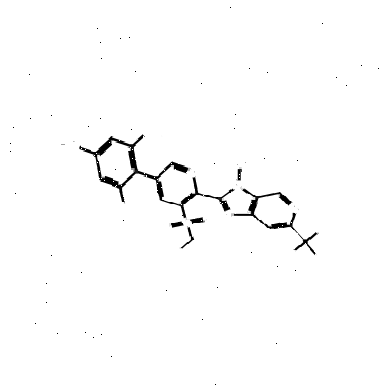 CCS(=O)(=O)c1cc(-c2c(C)cc(C)cc2C)cnc1-c1nc2cc(C(F)(F)F)ncc2n1C